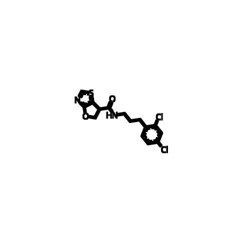 O=C(NCCCc1ccc(Cl)cc1Cl)C1COc2ncsc21